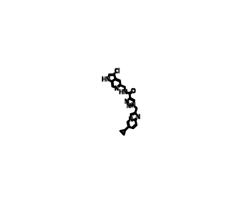 O=C(NCc1cc2c(Cl)c[nH]c2cn1)c1cn(Cc2cn3cc(C4CC4)ccc3n2)nn1